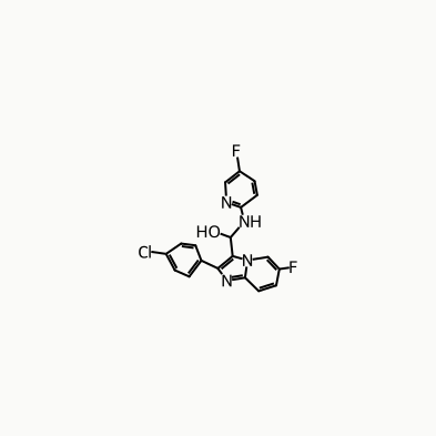 OC(Nc1ccc(F)cn1)c1c(-c2ccc(Cl)cc2)nc2ccc(F)cn12